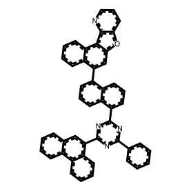 c1ccc(-c2nc(-c3cccc4c(-c5cc6oc7cccnc7c6c6ccccc56)cccc34)nc(-c3cc4ccccc4c4ccccc34)n2)cc1